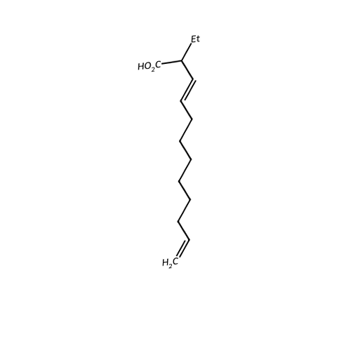 C=CCCCCCCC=CC(CC)C(=O)O